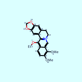 CCOc1c2[n+](cc3c(OC)c(OC)ccc13)CCc1cc3c(cc1-2)OCO3